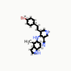 Cc1c(Nc2c(C#N)cncc2C=Cc2ccc(Br)cc2)ccc2[nH]ccc12